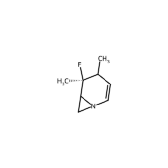 CC1C=CN2CC2[C@@]1(C)F